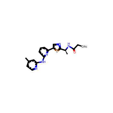 CC(=O)OCC(=O)N[C@@H](C)c1ncc(-c2cccc(Nc3cc(C)ccn3)n2)s1